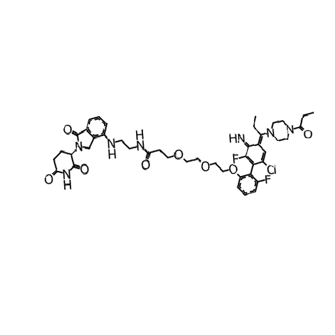 CCC(=O)N1CCN(/C(CC)=C2\C=C(Cl)C(c3c(F)cccc3OCCOCCOCCC(=O)NCCNc3cccc4c3CN(C3CCC(=O)NC3=O)C4=O)=C(F)C2=N)CC1